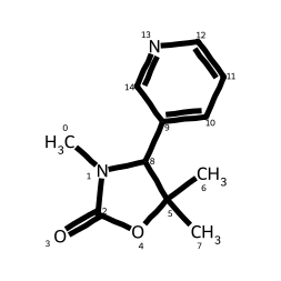 CN1C(=O)OC(C)(C)C1c1cccnc1